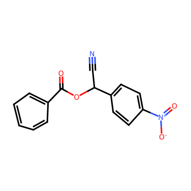 N#CC(OC(=O)c1ccccc1)c1ccc([N+](=O)[O-])cc1